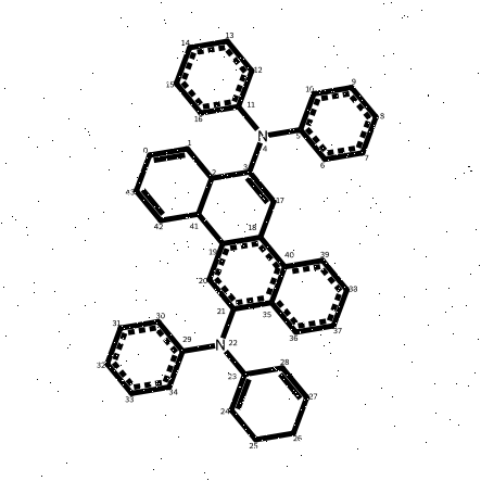 C1=CC2C(N(c3ccccc3)c3ccccc3)=Cc3c(cc(N(C4=CCCC=C4)c4ccccc4)c4ccccc34)C2C=C1